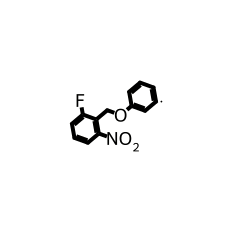 O=[N+]([O-])c1cccc(F)c1COc1c[c]ccc1